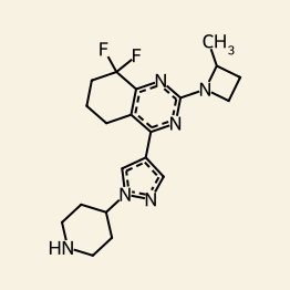 CC1CCN1c1nc(-c2cnn(C3CCNCC3)c2)c2c(n1)C(F)(F)CCC2